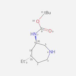 CC[C@H]1CCNC[C@H](NC(=O)OC(C)(C)C)C1